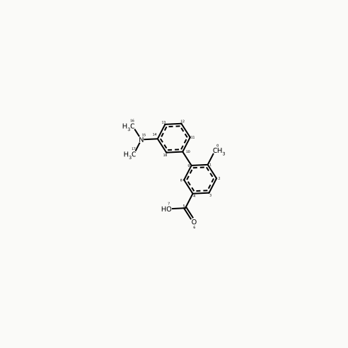 Cc1ccc(C(=O)O)cc1-c1cccc(N(C)C)c1